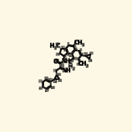 C=C/C(=C\c1c(C)cc2c(c1C=C)C(NC(=O)C(=N)CC1CC1c1ccccc1)C[C@@H]2C)C1CC1